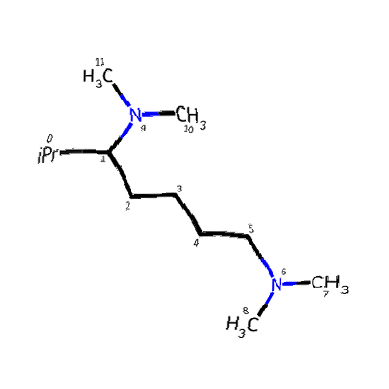 CC(C)C(CCCCN(C)C)N(C)C